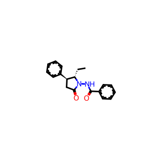 CC[C@H]1[C@H](c2ccccc2)CC(=O)N1NC(=O)c1ccccc1